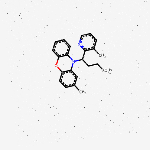 Cc1ccc2c(c1)N(C(CCS(=O)(=O)O)c1ncccc1C)c1ccccc1O2